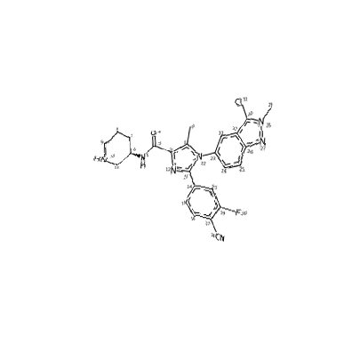 Cc1c(C(=O)N[C@@H]2CCCNC2)nc(-c2ccc(C#N)c(F)c2)n1-c1ccc2nn(C)c(Cl)c2c1